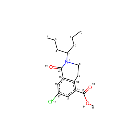 CCCC(CCC)N1CCc2c(C(=O)OC)cc(Cl)cc2C1=O